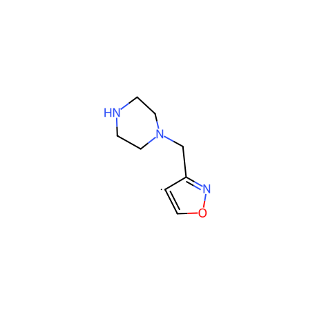 [c]1conc1CN1CCNCC1